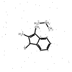 CC1=C(C)[CH]([Ti])c2ccccc21.C[SiH2]C